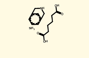 N.O=C(O)CCCCC(=O)O.c1cc2cc(c1)CNC2